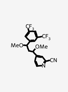 COC(CC(OC)c1ccnc(C#N)c1)c1cc(C(F)(F)F)cc(C(F)(F)F)c1